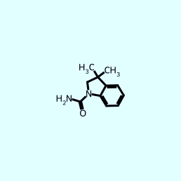 CC1(C)CN(C(N)=O)c2ccccc21